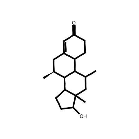 CC1CC2(C)C(O)CCC2C2C1C1CCC(=O)C=C1C[C@@H]2C